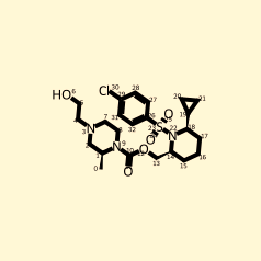 C[C@H]1CN(CCO)CCN1C(=O)OC[C@@H]1CCC[C@H](C2CC2)N1S(=O)(=O)c1ccc(Cl)cc1